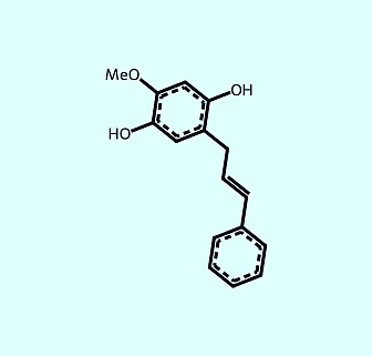 COc1cc(O)c(C/C=C/c2ccccc2)cc1O